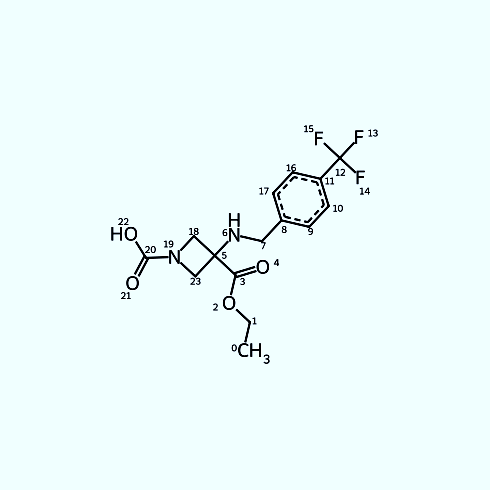 CCOC(=O)C1(NCc2ccc(C(F)(F)F)cc2)CN(C(=O)O)C1